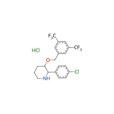 Cl.FC(F)(F)c1cc(COC2CCCNC2c2ccc(Cl)cc2)cc(C(F)(F)F)c1